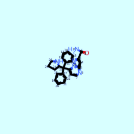 NC(=O)c1cc2nccc(C(c3ccccc3)(c3ccccc3)C3CCCN3)n2n1